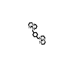 C1CN=C2N(C1)CCCN2CC1CCC(CN2CCCN3CCCN=C32)CC1